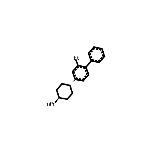 CCC[C@H]1CC[C@H](c2ccc(-c3ccccc3)c(CC)c2)CC1